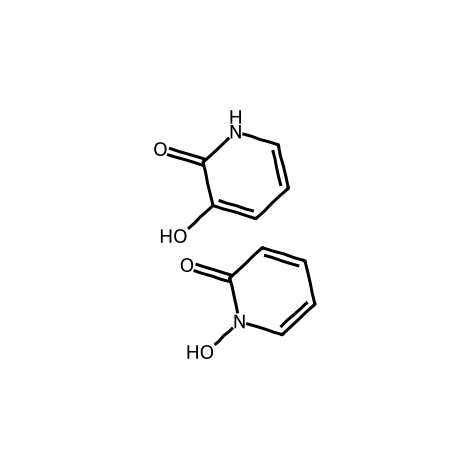 O=c1[nH]cccc1O.O=c1ccccn1O